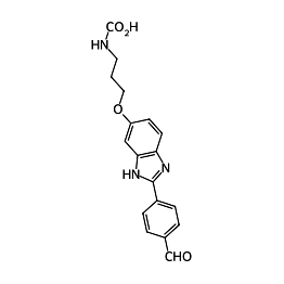 O=Cc1ccc(-c2nc3ccc(OCCCNC(=O)O)cc3[nH]2)cc1